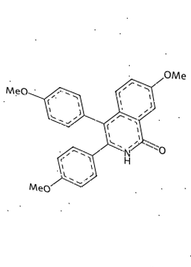 COc1ccc(-c2[nH]c(=O)c3cc(OC)ccc3c2-c2ccc(OC)cc2)cc1